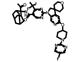 CC(=O)C1(NC(=O)c2cnc(N3CC4(CCOCC4)c4cc(OC5CCN(c6ncc(F)cn6)CC5)ncc43)nc2C(C)(F)F)C2CC3CC(C2)CC1C3